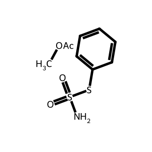 COC(C)=O.NS(=O)(=O)Sc1ccccc1